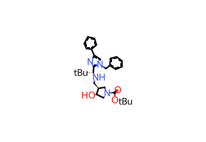 CC(C)(C)OC(=O)N1C[C@H](CN[C@@H](c2nc(-c3ccccc3)cn2Cc2ccccc2)C(C)(C)C)[C@@H](O)C1